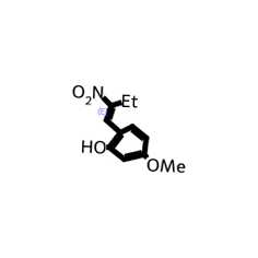 CC/C(=C\c1ccc(OC)cc1O)[N+](=O)[O-]